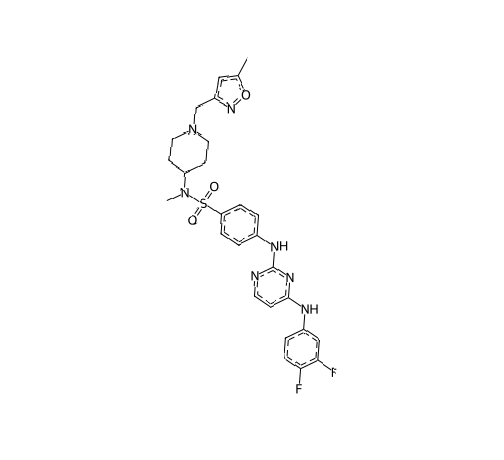 Cc1cc(CN2CCC(N(C)S(=O)(=O)c3ccc(Nc4nccc(Nc5ccc(F)c(F)c5)n4)cc3)CC2)no1